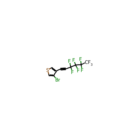 FC(F)(F)C(F)(F)C(F)(F)C(F)(F)C#Cc1cscc1Br